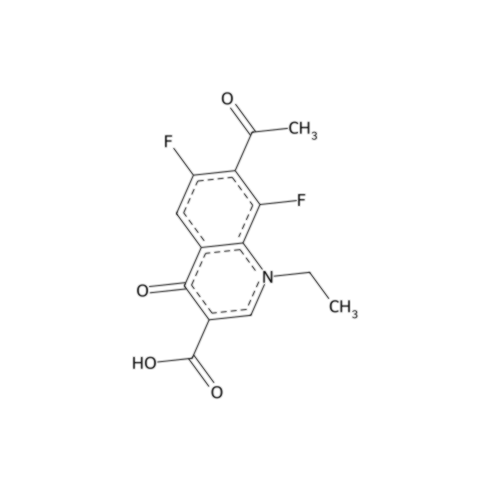 CCn1cc(C(=O)O)c(=O)c2cc(F)c(C(C)=O)c(F)c21